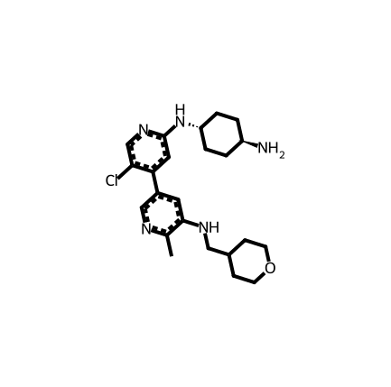 Cc1ncc(-c2cc(N[C@H]3CC[C@H](N)CC3)ncc2Cl)cc1NCC1CCOCC1